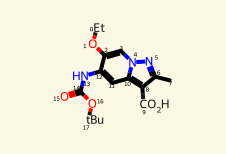 CCOc1cn2nc(C)c(C(=O)O)c2cc1NC(=O)OC(C)(C)C